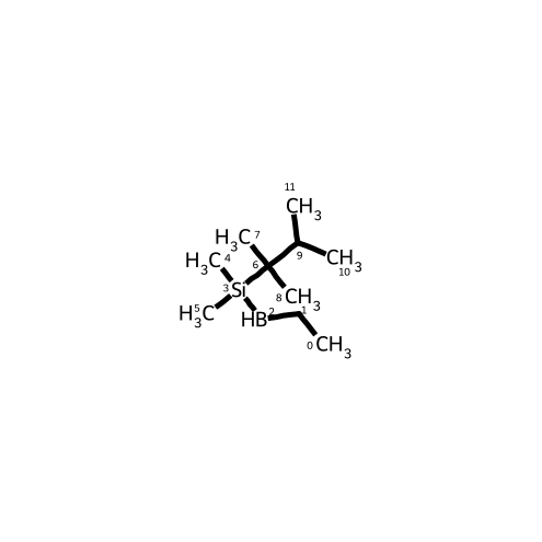 CCB[Si](C)(C)C(C)(C)C(C)C